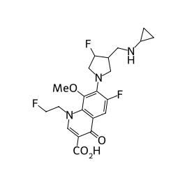 COc1c(N2CC(F)C(CNC3CC3)C2)c(F)cc2c(=O)c(C(=O)O)cn(CCF)c12